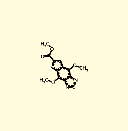 COC(=O)c1cc2c(OC)c3nsnc3c(OC)c2s1